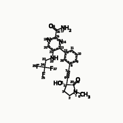 CN1CC[C@@](O)(C#Cc2cccc(-c3nc(C(N)=O)ncc3NCC(F)(F)F)c2)C1=O